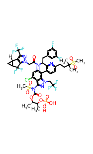 C[C@H](OC(=O)N(c1nn(CC(F)(F)F)c2c(-c3ccc(CCC(C)(C)S(C)(=O)=O)nc3[C@H](Cc3cc(F)cc(F)c3)NC(=O)Cn3nc(C(F)(F)F)c4c3C(F)(F)C3C[C@H]43)ccc(Cl)c12)S(C)(=O)=O)[C@H](C)OP(=O)(O)O